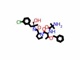 CC(OCc1ccccc1)[C@H](NC(=O)C(C)(C)N)C(=O)N1CCCC1C1=N[C@](CO)(Cc2cccc(Cl)c2)CO1